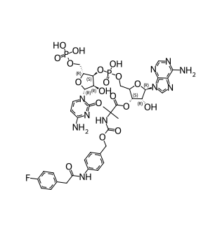 CC(C)(NC(=O)OCc1ccc(NC(=O)Cc2ccc(F)cc2)cc1)C(=O)O[C@@H]1C(COP(=O)(O)O[C@H]2[C@@H](O)[C@H](n3ccc(N)nc3=O)O[C@@H]2COP(=O)(O)O)O[C@@H](n2cnc3c(N)ncnc32)[C@@H]1O